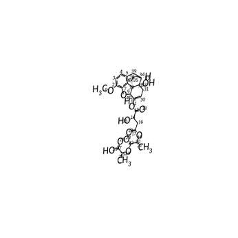 COc1ccc2c3c1O[C@@H]1C(OC(=O)[C@@H](O)CC(=O)O[C@@H](C)C(=O)O[C@@H](C)C(=O)O)=CC[C@]4(O)[C@@H](CCC[C@@]314)C2